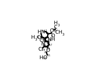 CC(C)OC(=O)C1=CNCC(C)(C)c2c1[nH]c1cc(OCCO)c(Cl)nc21